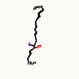 CCCCCC=CCC=CCC=CCC(I)C(O)CCCC(=O)O